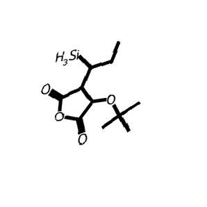 CCC([SiH3])C1C(=O)OC(=O)C1OC(C)(C)C